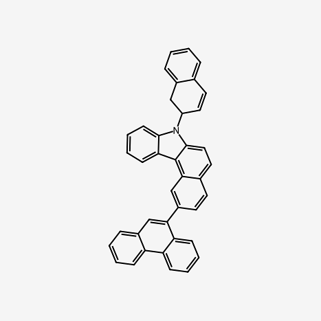 C1=CC(n2c3ccccc3c3c4cc(-c5cc6ccccc6c6ccccc56)ccc4ccc32)Cc2ccccc21